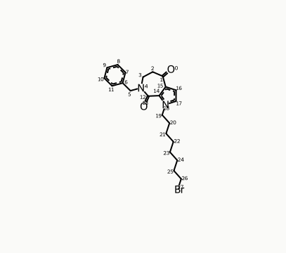 O=C1CCN(Cc2ccccc2)C(=O)c2c1ccn2CCCCCCCCBr